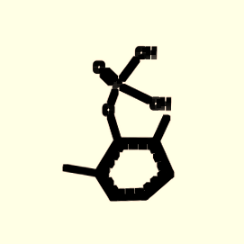 Cc1cccc(C)c1OP(=O)(O)O